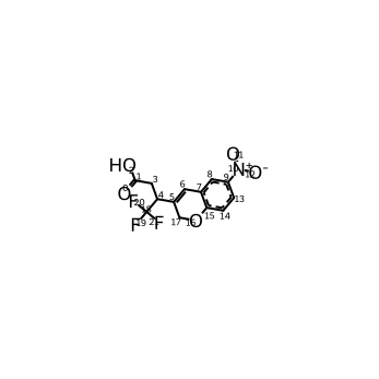 O=C(O)CC(C1=Cc2cc([N+](=O)[O-])ccc2OC1)C(F)(F)F